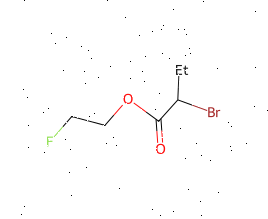 CCC(Br)C(=O)OCCF